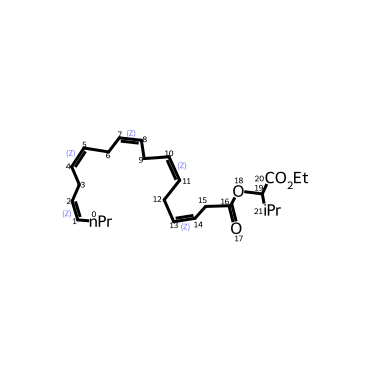 CCC/C=C\C/C=C\C/C=C\C/C=C\C/C=C\CC(=O)OC(C(=O)OCC)C(C)C